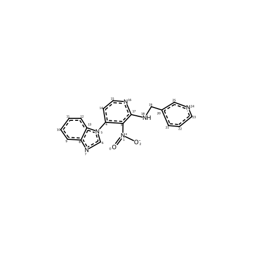 O=[N+]([O-])c1c(-n2cnc3ccccc32)ccnc1NCc1cccnc1